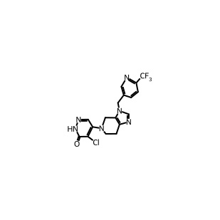 O=c1[nH]ncc(N2CCc3ncn(Cc4ccc(C(F)(F)F)nc4)c3C2)c1Cl